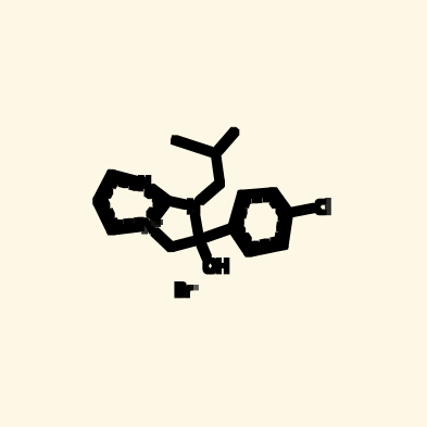 CC(C)CN1c2nccc[n+]2CC1(O)c1ccc(Cl)cc1.[Br-]